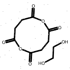 O=C1CCC(=O)OC(=O)CCC(=O)O1.OCCO